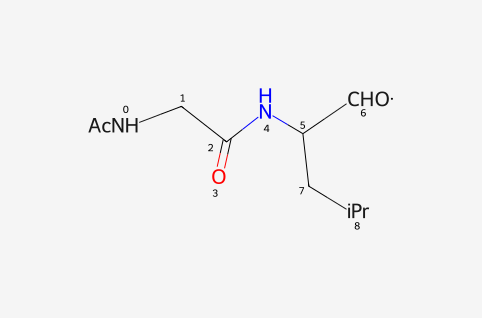 CC(=O)NCC(=O)NC([C]=O)CC(C)C